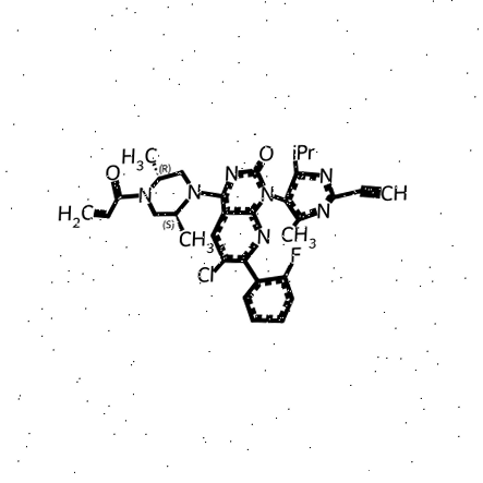 C#Cc1nc(C)c(-n2c(=O)nc(N3C[C@@H](C)N(C(=O)C=C)C[C@@H]3C)c3cc(Cl)c(-c4ccccc4F)nc32)c(C(C)C)n1